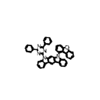 c1ccc(-c2nc(-c3ccccc3)nc(-n3c4ccccc4c4cc5c6ccccc6n(-c6cccc7oc8ccccc8c67)c5cc43)n2)cc1